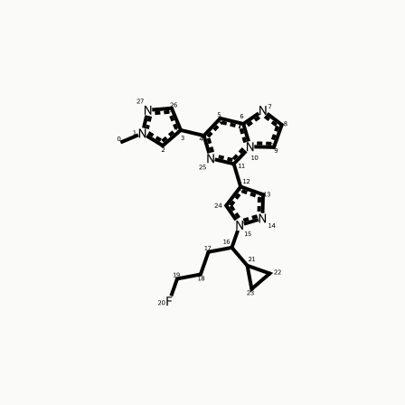 Cn1cc(-c2cc3nccn3c(-c3cnn(C(CCCF)C4CC4)c3)n2)cn1